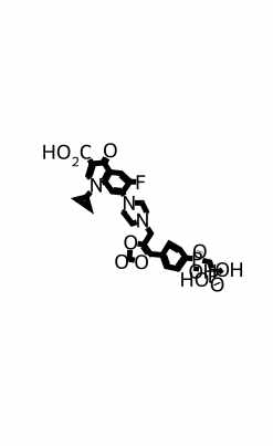 O=C(O)c1cn(C2CC2)c2cc(N3CCN(Cc4oc(=O)oc4-c4ccc(P(=O)(O)CP(=O)(O)O)cc4)CC3)c(F)cc2c1=O